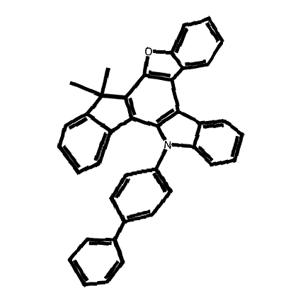 CC1(C)c2ccccc2-c2c1c1oc3ccccc3c1c1c3ccccc3n(-c3ccc(-c4ccccc4)cc3)c21